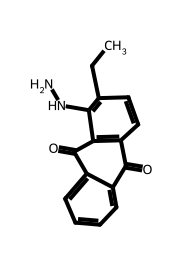 CCc1ccc2c(c1NN)C(=O)c1ccccc1C2=O